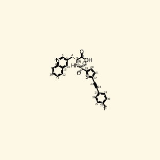 O=C(O)[C@@H](Cc1cnc2ccccc2c1)NS(=O)(=O)c1ccc(C#Cc2ccc(F)cc2)s1